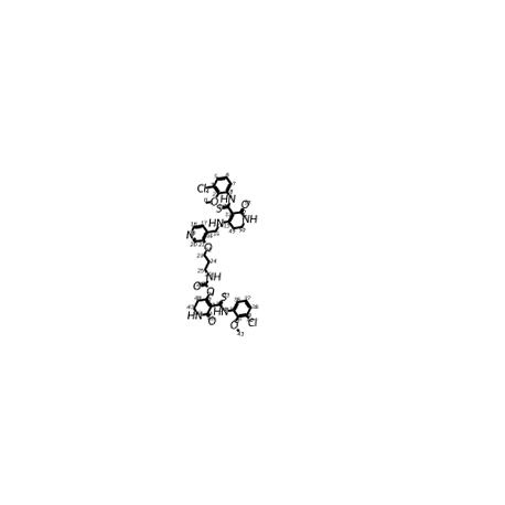 COc1c(Cl)cccc1NC(=S)C1=C(NCc2ccncc2OCCCNC(=O)OC2=C(C(=S)Nc3cccc(Cl)c3OC)C(=O)NCC2)CCNC1=O